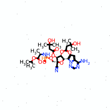 CC(C)OC(=O)[C@H](C)N[PH](=O)OC[C@@]1(C#N)O[C@@H](c2ccc3c(N)ncnn23)[C@H](OC(=O)CC(C)(C)O)[C@@H]1OC(=O)CC(C)(C)O